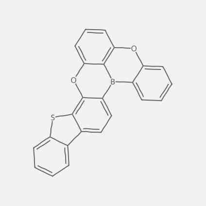 c1ccc2c(c1)Oc1cccc3c1B2c1ccc2c(sc4ccccc42)c1O3